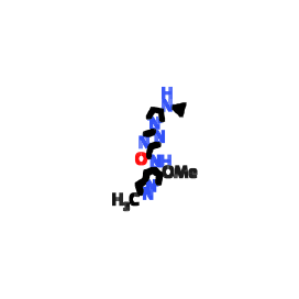 COc1cn2nc(C)cc2cc1NC(=O)c1cnc(N2CC[C@@H](NC3CC3)C2)cn1